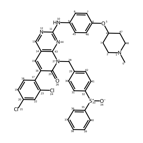 CN1CCC(Oc2ccc(Nc3ncc4cc(-c5ccc(Cl)cc5Cl)c(=O)n(Cc5ccc([S+]([O-])c6ccccc6)cc5)c4n3)cc2)CC1